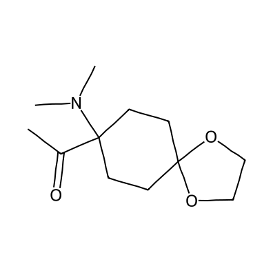 CC(=O)C1(N(C)C)CCC2(CC1)OCCO2